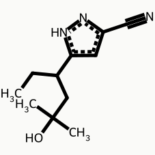 CCC(CC(C)(C)O)c1cc(C#N)n[nH]1